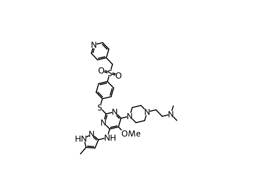 COc1c(Nc2cc(C)[nH]n2)nc(Sc2ccc(S(=O)(=O)Cc3ccncc3)cc2)nc1N1CCN(CCN(C)C)CC1